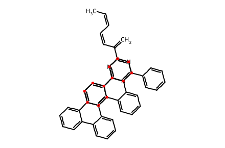 C=C(/C=C\C=C/C)c1nc(-c2ccccc2)nc(-c2ccccc2-c2ccccc2-c2ccccc2-c2ccc3c4ccccc4c4ccccc4c3c2)n1